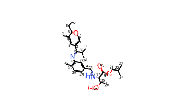 C/C=C(\C=C(\C)C(=O)CC)C(=N/c1cc(CN[C@H](C(=O)OCC(C)C)C(C)O)ccc1C)/C(C)C